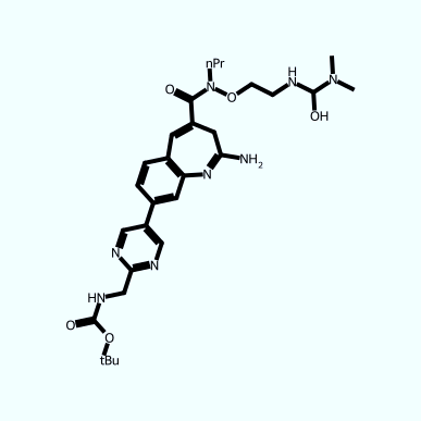 CCCN(OCCNC(O)N(C)C)C(=O)C1=Cc2ccc(-c3cnc(CNC(=O)OC(C)(C)C)nc3)cc2N=C(N)C1